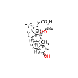 C[C@H](CCC(=O)O)[C@H]1CC[C@H]2[C@@H]3CC[C@@H]4C[C@H](O)CC[C@]4(C)C3CC(OOC(C)(C)C)[C@]12C